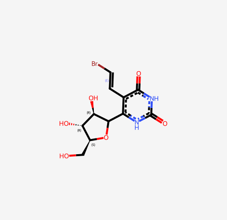 O=c1[nH]c(C2O[C@@H](CO)[C@H](O)[C@H]2O)c(/C=C/Br)c(=O)[nH]1